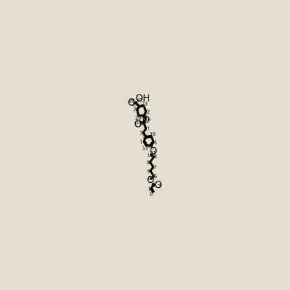 C=CC(=O)OCCCCCCOc1ccc(CCC(=O)OC2CCC(C(=O)O)CC2)cc1